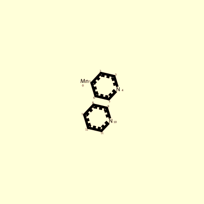 [Mn].c1ccncc1.c1ccncc1